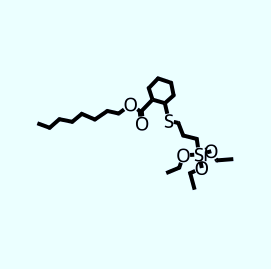 CCCCCCCCOC(=O)C1CCCCC1SCCC[Si](OCC)(OCC)OCC